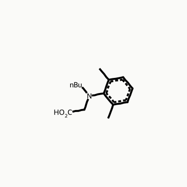 CCCCN(CC(=O)O)c1c(C)cccc1C